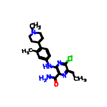 CCc1nc(C(N)=O)c(Nc2ccc(C3CCN(C)CC3)c(C)c2)nc1Cl